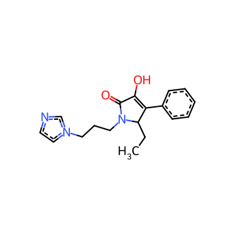 CCC1C(c2ccccc2)=C(O)C(=O)N1CCCn1ccnc1